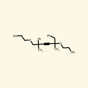 CC(C)CC(C)(C#CC(C)(COCCO)C(C)C)OCCO